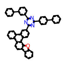 c1ccc(-c2ccc(-c3nc(-c4cccc(-c5ccccc5)c4)nc(-c4ccc5c(c4)c4ccccc4c4ccc6c7ccccc7oc6c45)n3)cc2)cc1